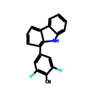 N#Cc1c(F)cc(-c2cccc3c2[nH]c2ccccc23)cc1F